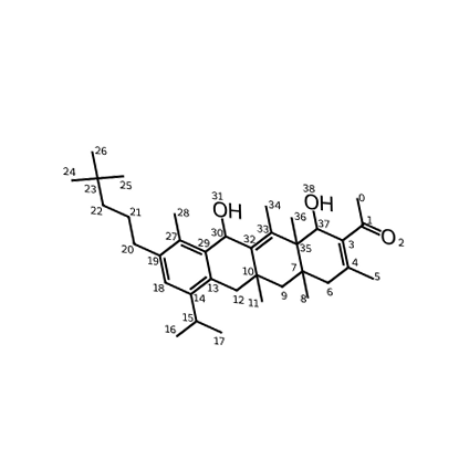 CC(=O)C1=C(C)CC2(C)CC3(C)Cc4c(C(C)C)cc(CCCC(C)(C)C)c(C)c4C(O)C3=C(C)C2(C)C1O